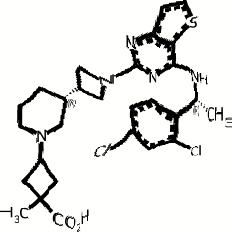 C[C@@H](Nc1nc(N2CC([C@H]3CCCN(C4CC(C)(C(=O)O)C4)C3)C2)nc2ccsc12)c1ccc(Cl)cc1Cl